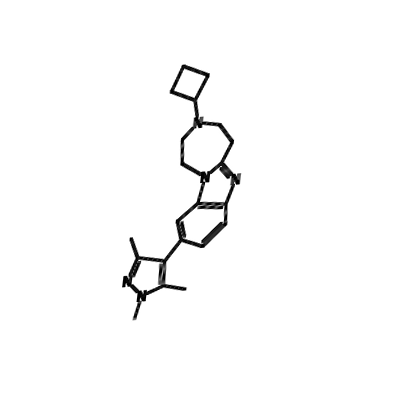 Cc1nn(C)c(C)c1-c1ccc2nc3n(c2c1)CCN(C1CCC1)CC3